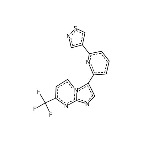 FC(F)(F)c1ccn2c(-c3cccc(-c4cnsc4)n3)cnc2n1